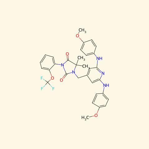 COc1ccc(Nc2cc(CN3C(=O)N(c4ccccc4OC(F)(F)F)C(=O)C3(C)C)cc(Nc3ccc(OC)cc3)n2)cc1